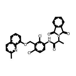 Cc1ccc2cccc(OCc3c(Cl)ccc(NC(=O)C(C)N4C(=O)c5ccccc5C4=O)c3Cl)c2n1